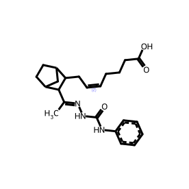 CC(=NNC(=O)Nc1ccccc1)C1C2CCC(C2)C1C/C=C\CCCC(=O)O